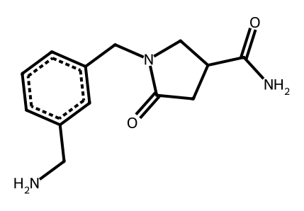 NCc1cccc(CN2CC(C(N)=O)CC2=O)c1